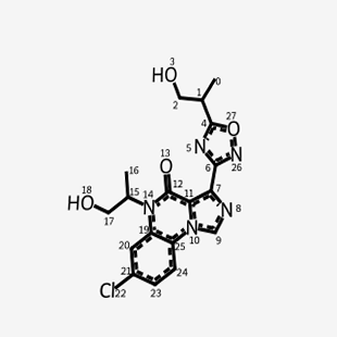 CC(CO)c1nc(-c2ncn3c2c(=O)n(C(C)CO)c2cc(Cl)ccc23)no1